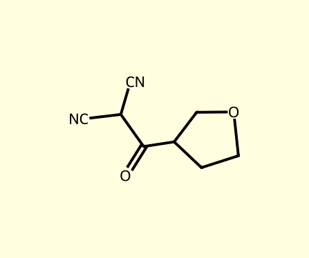 N#CC(C#N)C(=O)C1CCOC1